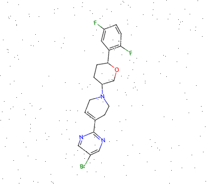 Fc1ccc(F)c(C2CCC(N3CC=C(c4ncc(Br)cn4)CC3)CO2)c1